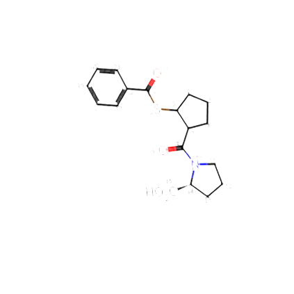 O=C(SC1CCCC1C(=O)N1CCC[C@H]1C(=O)O)c1ccccc1